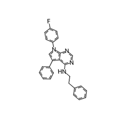 Fc1ccc(-n2cc(-c3ccccc3)c3c(NCCc4ccccc4)ncnc32)cc1